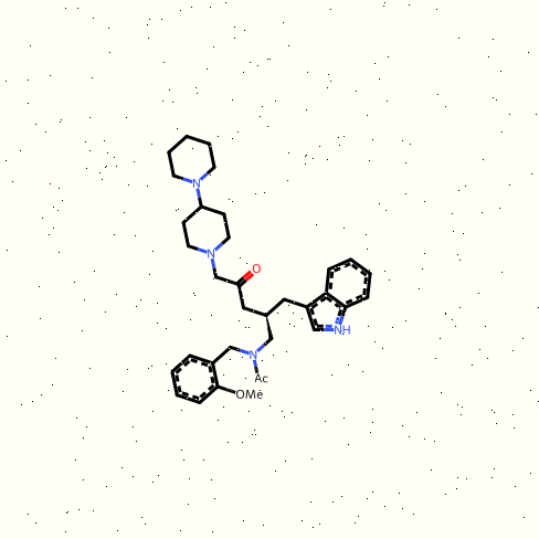 COc1ccccc1CN(C[C@@H](CC(=O)CN1CCC(N2CCCCC2)CC1)Cc1c[nH]c2ccccc12)C(C)=O